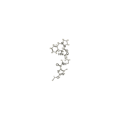 CCOc1nc(C)c(C(=O)NC[C@@H](CC)C(=O)N[C@@H]2C(=O)N3CCCN3Cc3ccccc32)s1